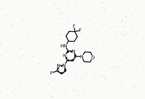 Fc1ccn(-c2cc(N3CCOCC3)nc(NC3CCC(F)(F)CC3)n2)n1